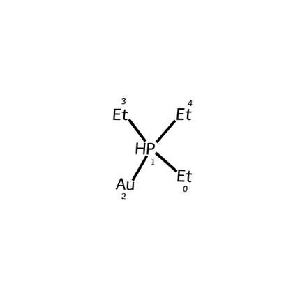 CC[PH]([Au])(CC)CC